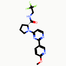 COc1ccc(-c2nccc(N3CCC[C@@H]3C(=O)NCC(F)(F)F)n2)cn1